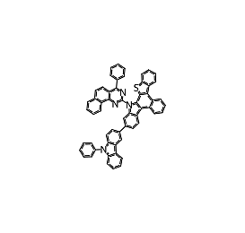 c1ccc(-c2nc(-n3c4cc(-c5ccc6c(c5)c5ccccc5n6-c5ccccc5)ccc4c4c5ccccc5c5c6ccccc6sc5c43)nc3c2ccc2ccccc23)cc1